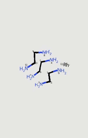 NCCN.NCCN.NCCN.[Rh]